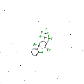 Fc1ccccc1C1(Br)[CH]C(Br)=CC(C(F)(C(F)(F)F)C(F)(F)F)=C1